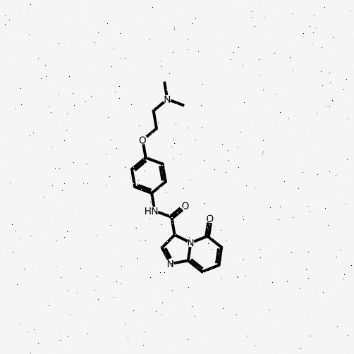 CN(C)CCOc1ccc(NC(=O)C2C=Nc3cccc(=O)n32)cc1